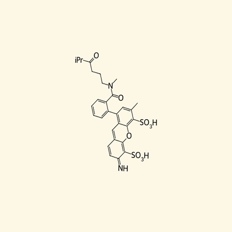 Cc1cc(-c2ccccc2C(=O)N(C)CCCC(=O)C(C)C)c2cc3ccc(=N)c(S(=O)(=O)O)c-3oc2c1S(=O)(=O)O